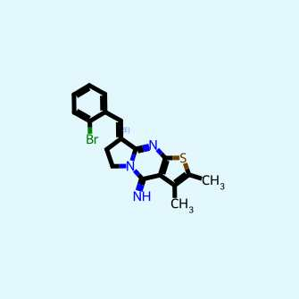 Cc1sc2nc3n(c(=N)c2c1C)CC/C3=C\c1ccccc1Br